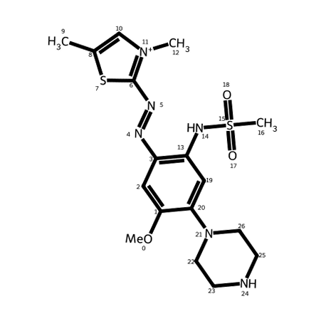 COc1cc(N=Nc2sc(C)c[n+]2C)c(NS(C)(=O)=O)cc1N1CCNCC1